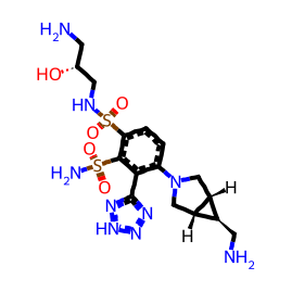 NC[C@@H](O)CNS(=O)(=O)c1ccc(N2C[C@@H]3[C@@H](CN)[C@@H]3C2)c(-c2nn[nH]n2)c1S(N)(=O)=O